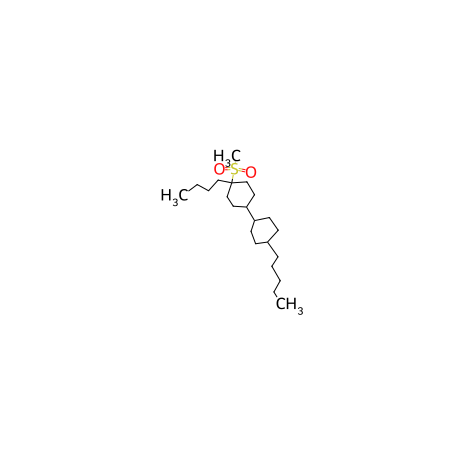 CCCCCC1CCC(C2CCC(CCCC)(S(C)(=O)=O)CC2)CC1